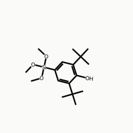 CO[Si](OC)(OC)c1cc(C(C)(C)C)c(O)c(C(C)(C)C)c1